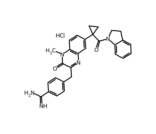 Cl.Cn1c(=O)c(Cc2ccc(C(=N)N)cc2)nc2cc(C3(C(=O)N4CCc5ccccc54)CC3)ccc21